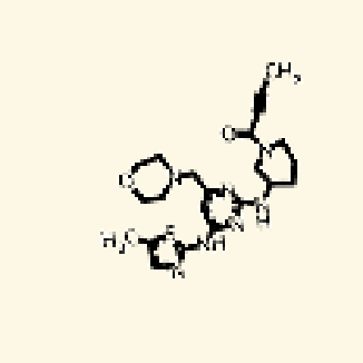 CC#CC(=O)N1CCCC(Nc2nc(CN3CCOCC3)cc(Nc3ncc(C)s3)n2)C1